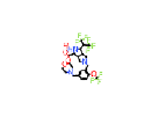 O=C(O)C1NC(C(C(F)(F)F)C(F)(F)F)C2CN(Cc3cc(CN4CCOCC4)ccc3OC(F)(F)F)CC12